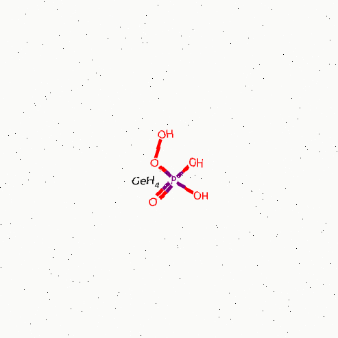 O=P(O)(O)OO.[GeH4]